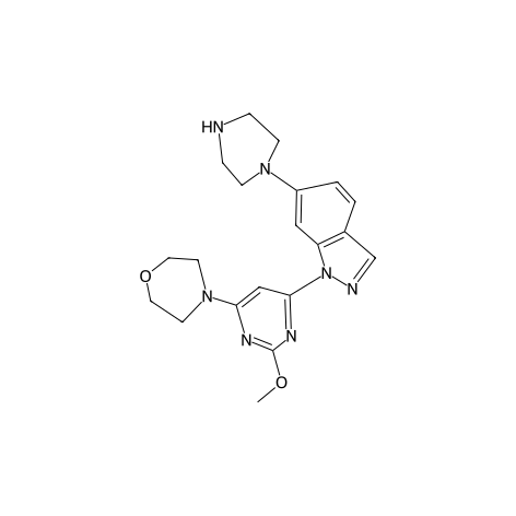 COc1nc(N2CCOCC2)cc(-n2ncc3ccc(N4CCNCC4)cc32)n1